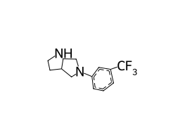 FC(F)(F)c1cccc(N2CC3CCNC3C2)c1